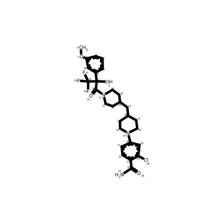 COc1cccc(C(O)(C(=O)N2CCC(CC3CCN(c4ccc(C(N)=O)c(Cl)c4)CC3)CC2)C(F)(F)F)c1